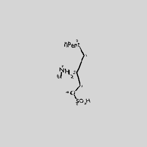 CCCCCCCCOS(=O)(=O)O.CN